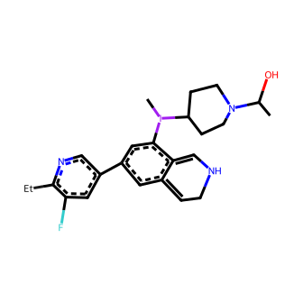 CCc1ncc(-c2cc(I(C)C3CCN(C(C)O)CC3)c3c(c2)=CCNC=3)cc1F